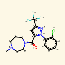 CN1CCCN(C(=O)c2cc(C(F)(F)F)nn2-c2ccccc2Cl)CC1